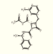 C[C@@H](NC(=O)N1C(=O)[C@H](Cc2ccnc(N)c2)[C@H]1C(=O)OC(=O)C(F)(F)F)c1ccccc1